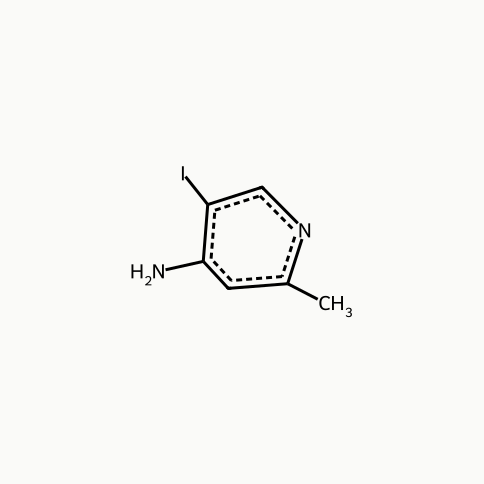 Cc1cc(N)c(I)cn1